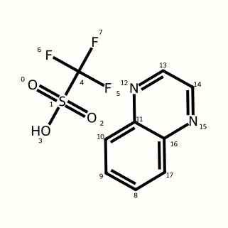 O=S(=O)(O)C(F)(F)F.c1ccc2nccnc2c1